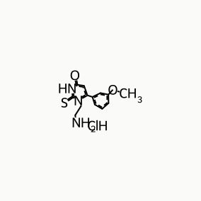 COc1cccc(-c2cc(=O)[nH]c(=S)n2CCN)c1.Cl